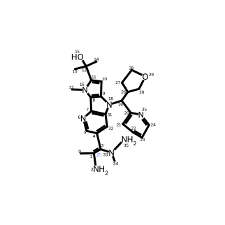 C/C(N)=C(\c1cnc2c3c(cc(C(C)(C)O)n3C)n(C(c3ccccn3)C3CCOC3)c2c1)N(C)N